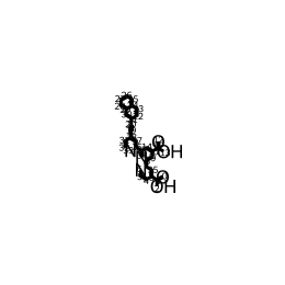 O=C(O)c1ccnc(-c2cc(C(=O)O)cc(-c3cc(C#Cc4ccc5ccccc5c4)ccn3)n2)c1